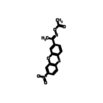 CC(=O)O/N=C(\C)c1ccc2c(c1)Oc1cc([N+](=O)[O-])ccc1S2